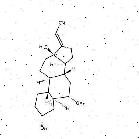 CC(=O)O[C@H]1C[C@@H]2[C@H](CC[C@]3(C)C(=CC#N)CC[C@@H]23)[C@@]2(C)CC[C@@H](O)C[C@H]12